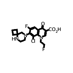 O=C(O)c1cn(CCF)c2c(Cl)c(N3CCNC4(CCC4)C3)c(F)cc2c1=O